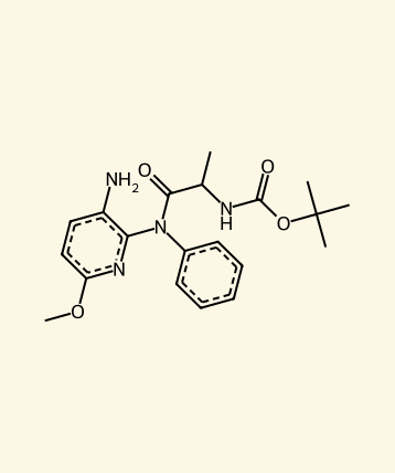 COc1ccc(N)c(N(C(=O)C(C)NC(=O)OC(C)(C)C)c2ccccc2)n1